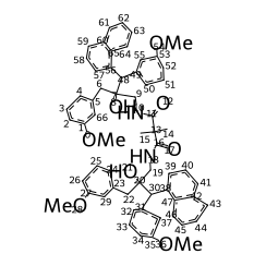 COc1cccc(CC(O)(CNC(=O)C(C)(C)C(=O)NCC(O)(Cc2cccc(OC)c2)C(c2cccc(OC)c2)c2cccc3ccccc23)C(c2cccc(OC)c2)c2cccc3ccccc23)c1